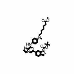 COC(=O)CCCCCCN(C)c1ccc(Nc2nc(-c3ccc4cnn(C(=O)OC(C)(C)C)c4c3)cn3ccnc23)cc1